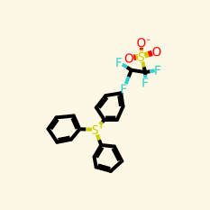 O=S(=O)([O-])C(F)(F)C(F)F.c1ccc([S+](c2ccccc2)c2ccccc2)cc1